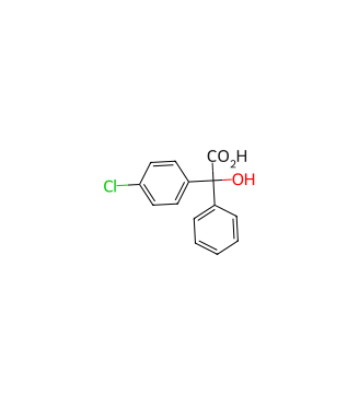 O=C(O)C(O)(c1ccccc1)c1ccc(Cl)cc1